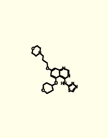 c1nc(Nc2nncs2)c2c(OC3CCOCC3)cc(OCCCN3CCOCC3)cc2n1